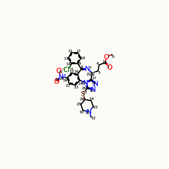 COC(=O)CC[C@@H]1N=C(c2ccccc2Cl)c2cc([N+](=O)[O-])ccc2-n2c(SC3CCN(C)CC3)nnc21